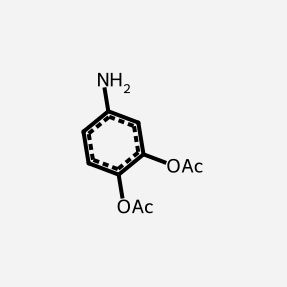 CC(=O)Oc1ccc(N)cc1OC(C)=O